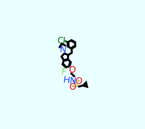 O=S(=O)(CC1CC1)NCCOc1cc2c(cc1F)CC(N1CCC1)C2Cc1cccc(Cl)c1